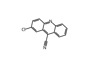 N#Cc1c2ccccc2nc2ccc(Cl)cc12